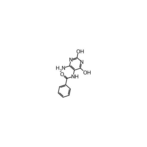 Nc1nc(O)nc(O)c1NC(=O)c1ccccc1